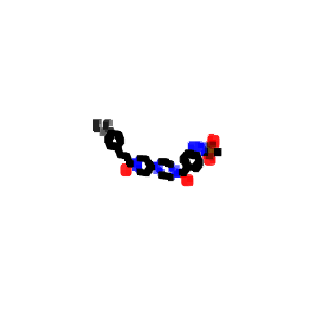 CS(=O)(=O)Nc1ccc(C(=O)N2CCN(C3CCN(C(=O)CCc4ccc(C(F)(F)F)cc4)CC3)CC2)cc1